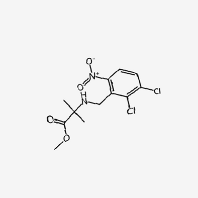 COC(=O)C(C)(C)NCc1c([N+](=O)[O-])ccc(Cl)c1Cl